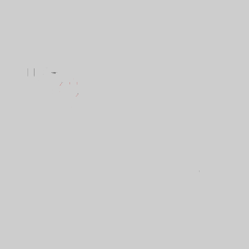 C=CC(=O)OC(=O)CCCCCCCCCCCCCCC